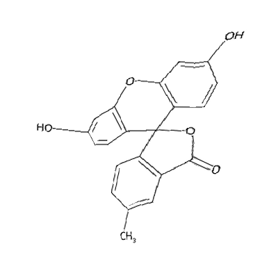 Cc1ccc2c(c1)C(=O)OC21c2ccc(O)cc2Oc2cc(O)ccc21